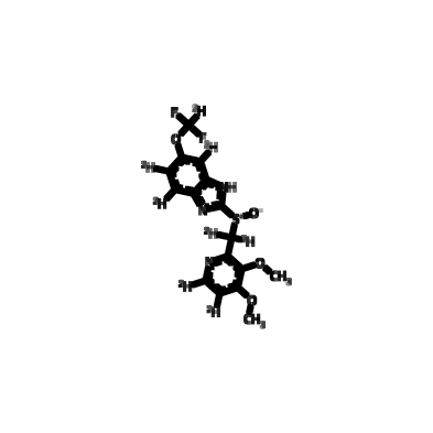 [2H]c1nc(C([2H])([2H])[S+]([O-])c2nc3c([2H])c([2H])c(OC([2H])(F)F)c([2H])c3[nH]2)c(OC)c(OC)c1[2H]